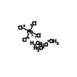 O.O.O.O.[Cl][Pb]([Cl])([Cl])[Cl]